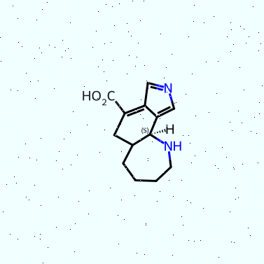 O=C(O)C1=C2C=NC=C2[C@H]2NCCCCC2C1